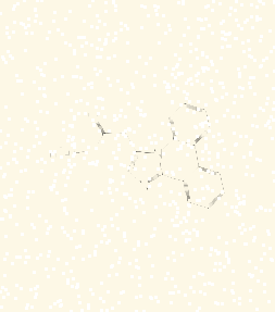 CCCCOC(=O)Cc1cnc2c3ccccc3c3ccccc3n12